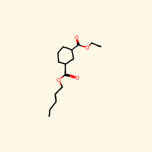 CCCCCOC(=O)C1CCCC(C(=O)OCC)C1